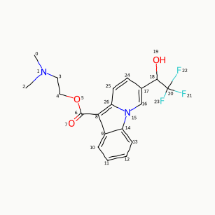 CN(C)CCOC(=O)c1c2ccccc2n2cc(C(O)C(F)(F)F)ccc12